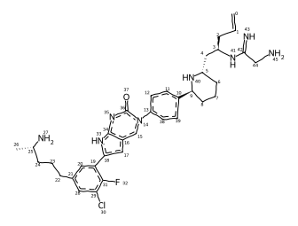 C=CC[C@H](C[C@@H]1CCC[C@@H](c2ccc(-n3cc4cc(-c5cc(CCC[C@H](C)N)cc(Cl)c5F)[nH]c4nc3=O)cc2)N1)NC(=N)CN